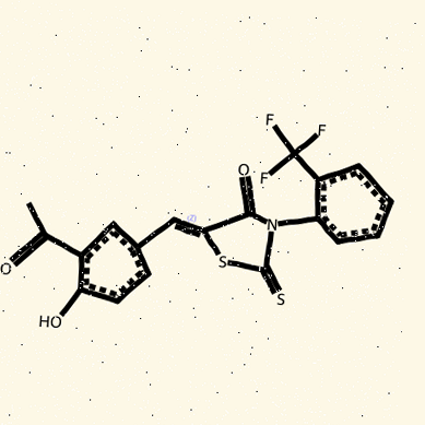 CC(=O)c1cc(/C=C2\SC(=S)N(c3ccccc3C(F)(F)F)C2=O)ccc1O